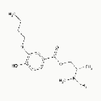 CCCCOc1cc(C(=O)OC[C@H](C)N(C)C)ccc1O